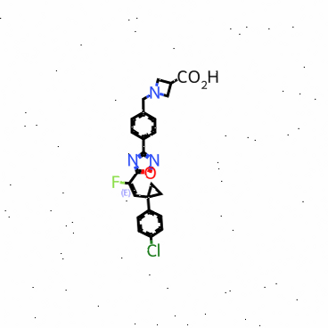 O=C(O)C1CN(Cc2ccc(-c3noc(/C(F)=C\C4(c5ccc(Cl)cc5)CC4)n3)cc2)C1